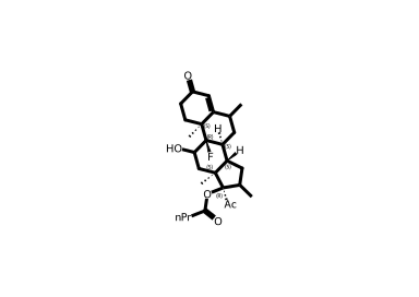 CCCC(=O)O[C@]1(C(C)=O)C(C)C[C@H]2[C@@H]3CC(C)C4=CC(=O)CC[C@]4(C)[C@@]3(F)C(O)C[C@@]21C